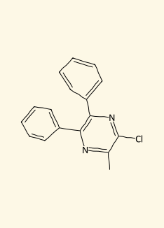 Cc1nc(-c2ccccc2)c(-c2ccccc2)nc1Cl